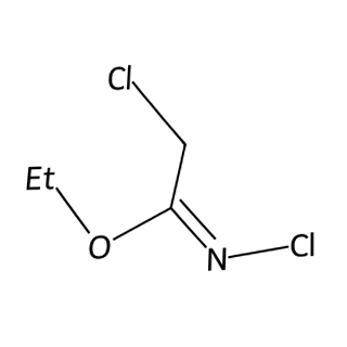 CCO/C(CCl)=N/Cl